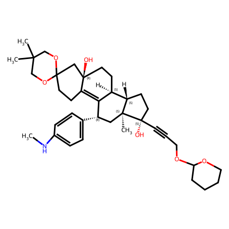 CNc1ccc([C@H]2C[C@@]3(C)[C@@H](CC[C@@]3(O)C#CCOC3CCCCO3)[C@@H]3CC[C@@]4(O)CC5(CCC4=C32)OCC(C)(C)CO5)cc1